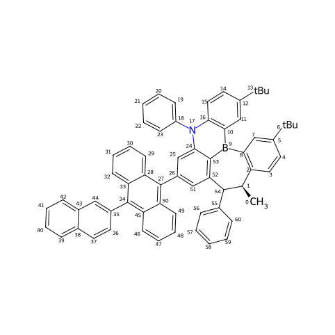 C[C@@H]1c2ccc(C(C)(C)C)cc2B2c3cc(C(C)(C)C)ccc3N(c3ccccc3)c3cc(-c4c5ccccc5c(-c5ccc6ccccc6c5)c5ccccc45)cc(c32)C1c1ccccc1